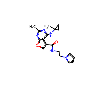 Cc1nc(NC2(C)CC2)c2c(C(=O)NCCn3cccc3)coc2n1